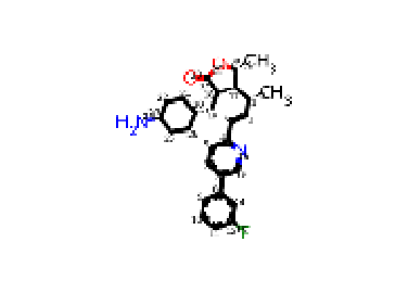 C[C@H](/C=C/c1ccc(-c2cccc(F)c2)cn1)[C@H]1C(C[C@H]2CC[C@H](N)CC2)C(=O)O[C@@H]1C